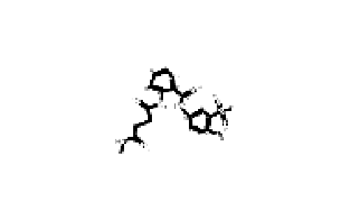 CNC(=O)CCC(=O)Oc1ccccc1C(=O)Nc1ccc(Br)c(S(C)(=O)=O)c1